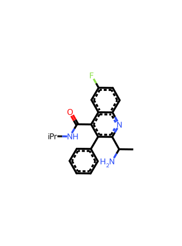 CC(C)NC(=O)c1c(-c2ccccc2)c(C(C)N)nc2ccc(F)cc12